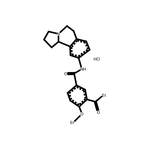 CCOc1ccc(C(=O)Nc2ccc3c(c2)C2CCCN2CC3)cc1C(=O)CC.Cl